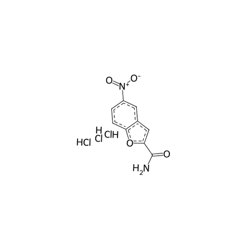 Cl.Cl.Cl.NC(=O)c1cc2cc([N+](=O)[O-])ccc2o1